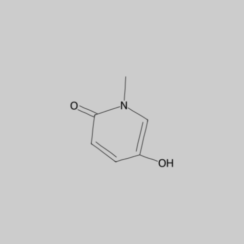 Cn1cc(O)ccc1=O